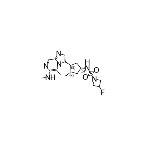 CNc1ncc2ncc([C@H]3C[C@@H](NS(=O)(=O)N4CC(F)C4)C[C@H]3C)n2c1C